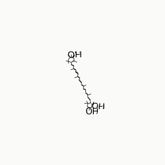 CC1=C(/C=C/C(C)=C/C=C/C(C)=C/C=C/C=C(C)/C=C/C=C(C)/C=C/C2C(C)(C)CC(O)CC2(C)O)C(C)(C)CC(O)C1